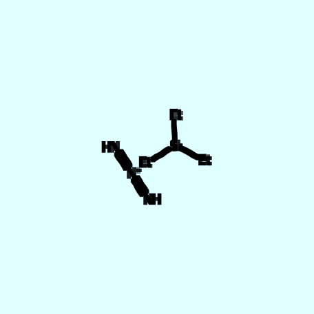 CC[Si](CC)CC.N=[N+]=N